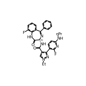 CCCNc1ccc(-c2nn(CC)cc2C(=O)N[C@H]2N=C(c3ccccc3)c3cccc(F)c3NC2=O)c(F)n1